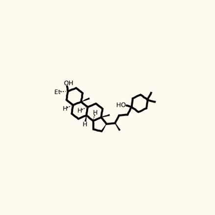 CC[C@]1(O)CC[C@@]2(C)[C@@H](CC[C@@H]3[C@@H]2CC[C@]2(C)[C@@H]([C@H](C)CCC4(O)CCC(C)(C)CC4)CC[C@@H]32)C1